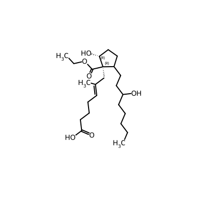 CCCCCC(O)CCC1CC[C@@H](O)[C@]1(CC(C)=CCCCC(=O)O)C(=O)OCC